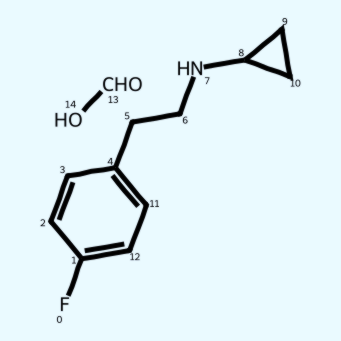 Fc1ccc(CCNC2CC2)cc1.O=CO